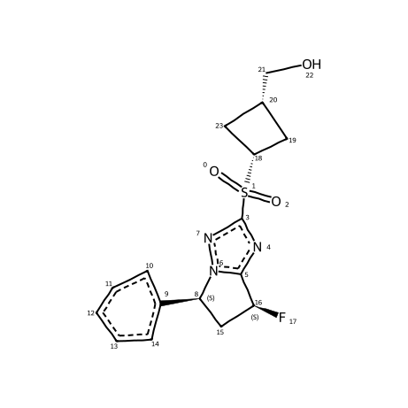 O=S(=O)(c1nc2n(n1)[C@H](c1ccccc1)C[C@@H]2F)[C@H]1C[C@@H](CO)C1